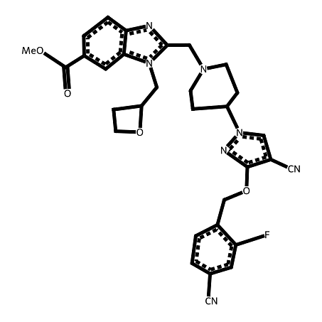 COC(=O)c1ccc2nc(CN3CCC(n4cc(C#N)c(OCc5ccc(C#N)cc5F)n4)CC3)n(CC3CCO3)c2c1